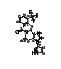 Cc1c(C(=O)N2Cc3nnn(-c4cc[nH]n4)c3C[C@@H]2C)cccc1C(F)(F)F